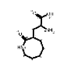 NC(CC1CCCCCNC1=O)C(=O)O